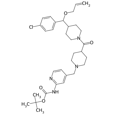 C=CCOC(c1ccc(Cl)cc1)C1CCN(C(=O)C2CCN(Cc3ccnc(NC(=O)OC(C)(C)C)c3)CC2)CC1